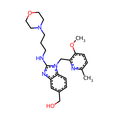 COc1ccc(C)nc1Cn1c(NCCCN2CCOCC2)nc2cc(CO)ccc21